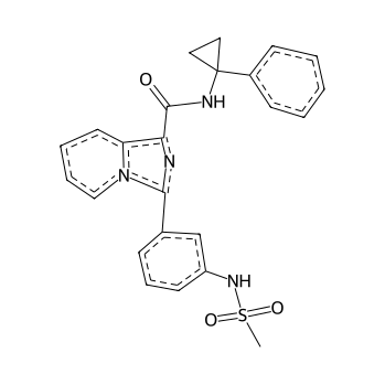 CS(=O)(=O)Nc1cccc(-c2nc(C(=O)NC3(c4ccccc4)CC3)c3ccccn23)c1